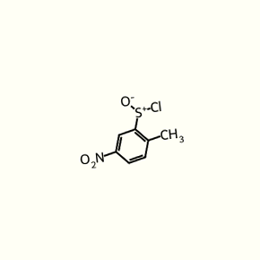 Cc1ccc([N+](=O)[O-])cc1[S+]([O-])Cl